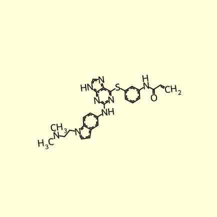 C=CC(=O)Nc1cccc(Sc2nc(Nc3ccc4c(ccn4CCN(C)C)c3)nc3[nH]cnc23)c1